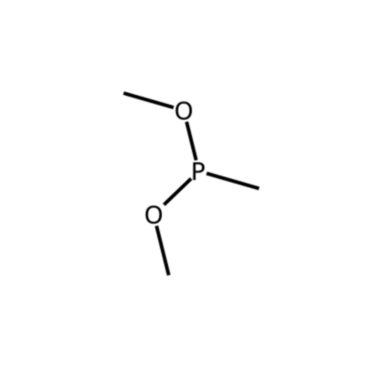 COP(C)OC